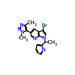 Cc1nnn(C)c1-c1cnc2c(c1)c(Br)cn2[C@@H](C)c1ccccn1